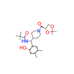 Cc1cc(O)c(C(NC(=O)C(C)(C)C)C2CCN(C(=O)[C@H]3COC(C)(C)O3)CC2)cc1C